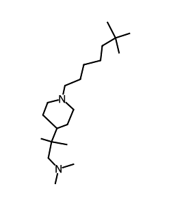 CN(C)CC(C)(C)C1CCN(CCCCCC(C)(C)C)CC1